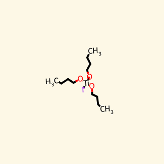 CCCC[O][Ti]([I])([O]CCCC)[O]CCCC